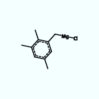 Cc1cc(C)c(C)c([CH2][Mg][Cl])c1